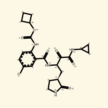 O=C(Nc1ccc(Cl)cc1C(=O)NC(C[C@@H]1CCNC1=O)C(=O)C(=O)NC1CC1)OC1CCC1